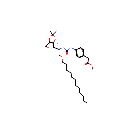 CCCCCCCCCCCCOC[C@H](NC(=O)Nc1ccc(CC(=O)OC)cc1)[C@H]1O[C@H](O)[C@H]2OC(C)(C)O[C@@H]12